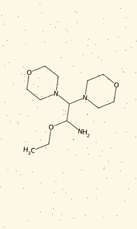 CCOC(N)C(N1CCOCC1)N1CCOCC1